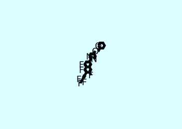 Fc1cc2cc(-c3ncc(OCC4CCCCO4)cn3)cc(F)c2c(F)c1C#CC(F)(F)F